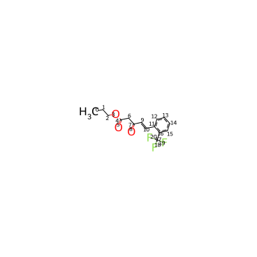 CCCOC(=O)CC(=O)C=Cc1ccccc1C(F)(F)F